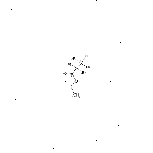 CCOC(=O)C(F)(Br)C(F)(F)F